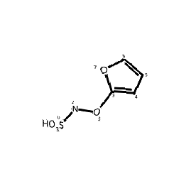 O=S(=O)(O)[N]Oc1ccco1